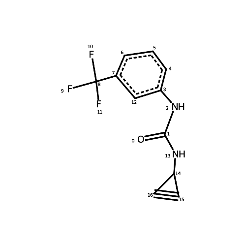 O=C(Nc1cccc(C(F)(F)F)c1)NC1C#C1